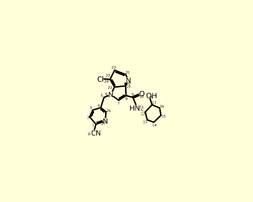 N#Cc1ccc(Cn2cc(C(=O)N[C@H]3CCCCC3O)c3nccc(Cl)c32)cn1